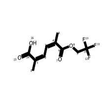 CC(=CC=C(C)C(=O)OCC(F)(F)F)C(=O)O